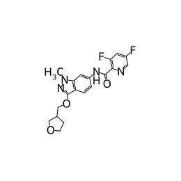 Cn1nc(OCC2CCOC2)c2ccc(NC(=O)c3ncc(F)cc3F)cc21